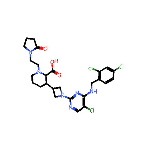 O=C(O)C1C(C2CN(c3ncc(Cl)c(NCc4ccc(Cl)cc4Cl)n3)C2)CCCN1CCN1CCCC1=O